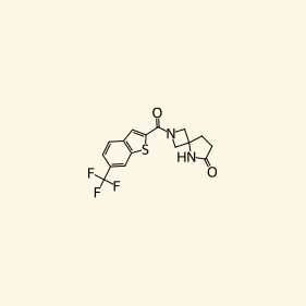 O=C1CCC2(CN(C(=O)c3cc4ccc(C(F)(F)F)cc4s3)C2)N1